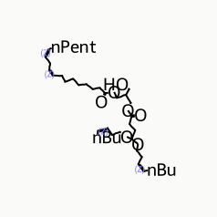 CCCC/C=C\CCOC(CCC(=O)OCC(CO)COC(=O)CCCCCCC/C=C\C/C=C\CCCCC)OCC/C=C\CCCC